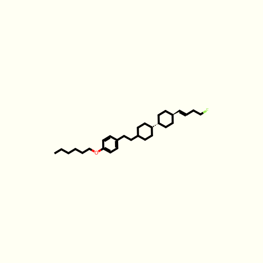 CCCCCCOc1ccc(CCC2CCC([C@H]3CC[C@H](/C=C/CCF)CC3)CC2)cc1